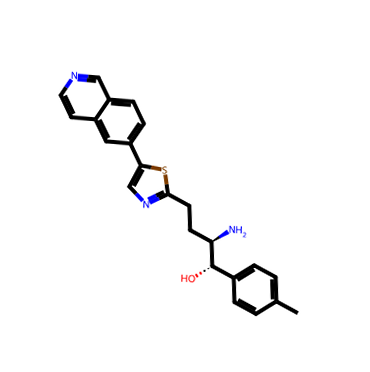 Cc1ccc([C@H](O)[C@H](N)CCc2ncc(-c3ccc4cnccc4c3)s2)cc1